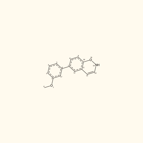 COc1cccc(-c2ccc3c(c2)C=CNO3)c1